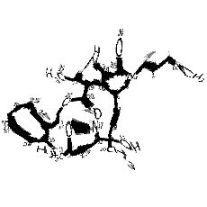 C=CCCn1cc(C#CC(C)(O)c2cc(C)on2)c2c(C(=O)OCc3ccccc3C)c(C)[nH]c2c1=O